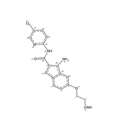 COCCOc1ccc2oc(C(=O)Nc3ccc(Cl)cn3)c(N)c2c1